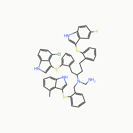 Cc1cccc2[nH]cc(Sc3ccccc3CN(CN)C(CCc3ccccc3Sc3c[nH]c4ccc(F)cc34)Cc3ccccc3Sc3c[nH]c4cccc(Cl)c34)c12